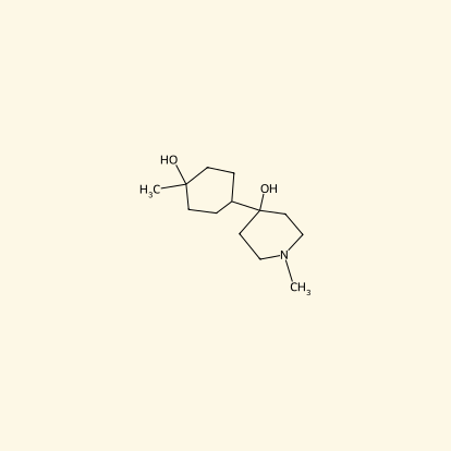 CN1CCC(O)(C2CCC(C)(O)CC2)CC1